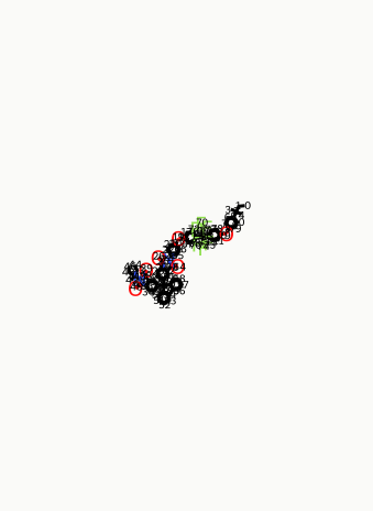 CCC(C)(C)c1ccc(Oc2ccc(C(c3ccc(Oc4ccc(N5C(=O)c6ccc(C7(c8ccc9c(c8)C(=O)N(C(C)(CC)CC)C9=O)c8ccccc8-c8ccccc87)cc6C5=O)cc4)cc3)(C(F)(F)F)C(F)(F)F)cc2)cc1